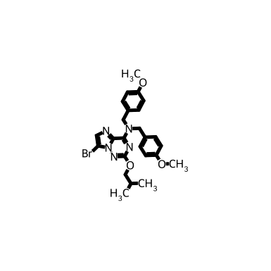 COc1ccc(CN(Cc2ccc(OC)cc2)c2nc(OCC(C)C)nn3c(Br)cnc23)cc1